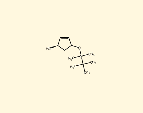 CC(C)(C)[Si](C)(C)OC1C=C[C@H](O)C1